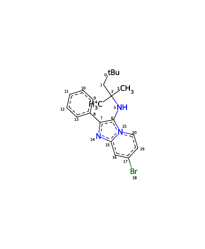 CC(C)(C)CC(C)(C)Nc1c(-c2ccccc2)nc2cc(Br)ccn12